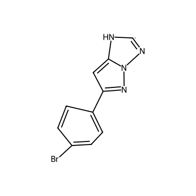 Brc1ccc(-c2cc3[nH][c]nn3n2)cc1